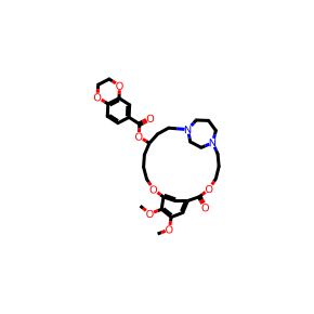 COc1cc2cc(c1OC)OCCCC(OC(=O)c1ccc3c(c1)OCCO3)CCN1CCCN(CCCOC2=O)CC1